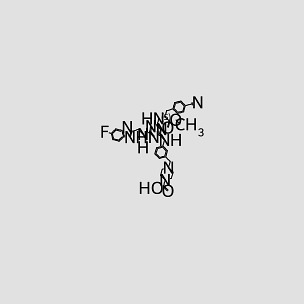 COC(=O)[C@H](Cc1ccc(C#N)cc1)Nc1nc(NCc2nc3cc(F)ccc3[nH]2)nc(Nc2cccc(CN3CCN(C(=O)O)CC3)c2)n1